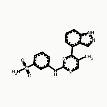 Cc1cnc(Nc2cccc(S(N)(=O)=O)c2)nc1-c1cccc2[nH]ncc12